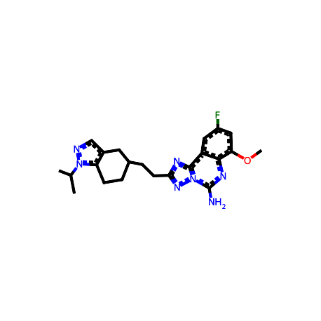 COc1cc(F)cc2c1nc(N)n1nc(CCC3CCc4c(cnn4C(C)C)C3)nc21